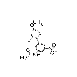 COc1ccc(-c2cc(NC(C)=O)cc([N+](=O)[O-])c2)c(F)c1